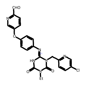 CCn1c(=O)[nH]/c(=N\c2ccc(Oc3ccc(C=O)nc3)cc2)n(Cc2ccc(Cl)cn2)c1=O